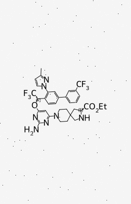 CCOC(=O)[C@@H]1CC2(CCN(c3cc(O[C@H](c4ccc(-c5cccc(C(F)(F)F)c5)cc4-n4ccc(C)n4)C(F)(F)F)nc(N)n3)CC2)CN1